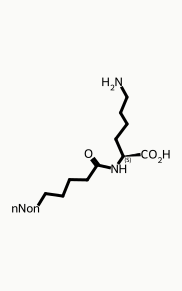 CCCCCCCCCCCCCC(=O)N[C@@H](CCCCN)C(=O)O